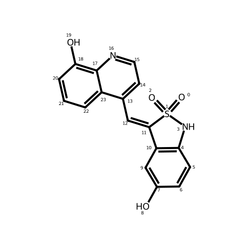 O=S1(=O)Nc2ccc(O)cc2C1=Cc1ccnc2c(O)cccc12